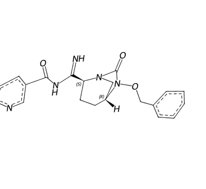 N=C(NC(=O)c1cccnc1)[C@@H]1CC[C@@H]2CN1C(=O)N2OCc1ccccc1